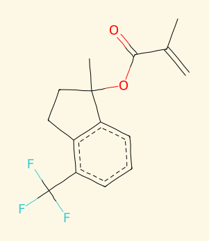 C=C(C)C(=O)OC1(C)CCc2c(C(F)(F)F)cccc21